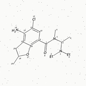 CCN(CC)C(C)N(C)C(=O)c1cc(Cl)c(N)c2c1OC(C)C2